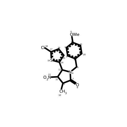 COc1ccc(CN2C(=O)C(C)C([N+](=O)[O-])C2c2ccc(Cl)s2)cc1